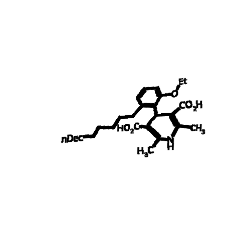 CCCCCCCCCCCCCCCc1cccc(OCC)c1C1C(C(=O)O)=C(C)NC(C)=C1C(=O)O